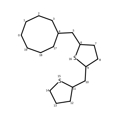 C1CCCC(CC2CCC(CC3CCCS3)S2)CCC1